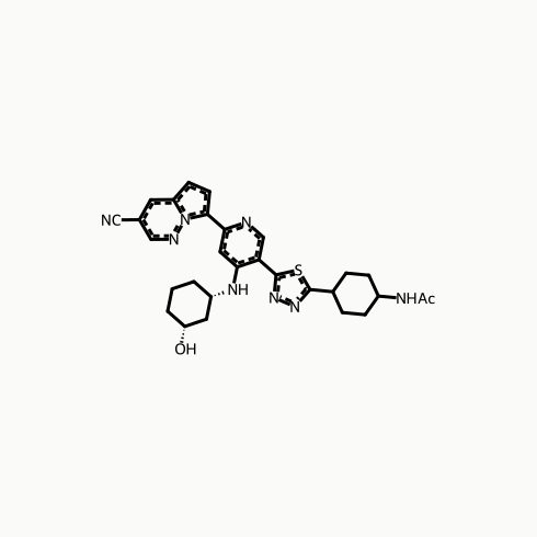 CC(=O)NC1CCC(c2nnc(-c3cnc(-c4ccc5cc(C#N)cnn45)cc3N[C@H]3CCC[C@@H](O)C3)s2)CC1